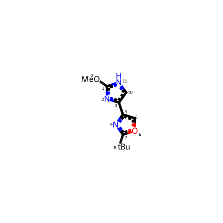 COc1nc(-c2coc(C(C)(C)C)n2)c[nH]1